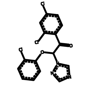 O=C(c1ccc(Cl)cc1Cl)C(Oc1ccccc1Cl)n1cncn1